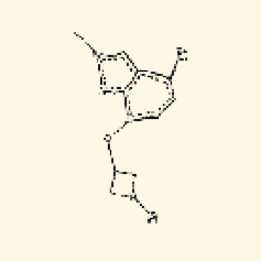 CCc1ccc(OC2CN(C(C)C)C2)c2nn(C)cc12